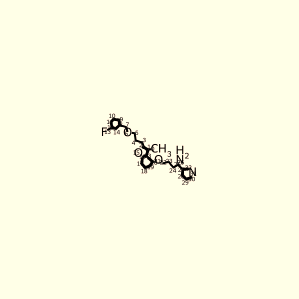 Cc1c(CCCOCc2cccc(F)c2)oc2cccc(OCCCC(N)c3cccnc3)c12